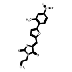 C=CCN1C(=O)C(=Cc2ccc(-c3ccc([N+](=O)[O-])cc3C)o2)SC1=S